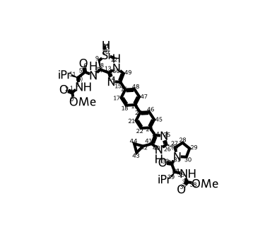 COC(=O)N[C@H](C(=O)N[C@@H](C[SiH](C)C)c1nc(-c2ccc(-c3ccc(-c4nc([C@@H]5CCCN5C(=O)[C@@H](NC(=O)OC)C(C)C)[nH]c4C4CC4)cc3)cc2)c[nH]1)C(C)C